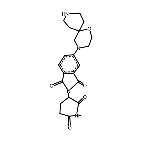 O=C1CCC(N2C(=O)c3ccc(N4CCOC5(CCNCC5)C4)cc3C2=O)C(=O)N1